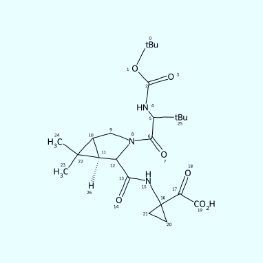 CC(C)(C)OC(=O)NC(C(=O)N1CC2[C@@H](C1C(=O)NC1(C(=O)C(=O)O)CC1)C2(C)C)C(C)(C)C